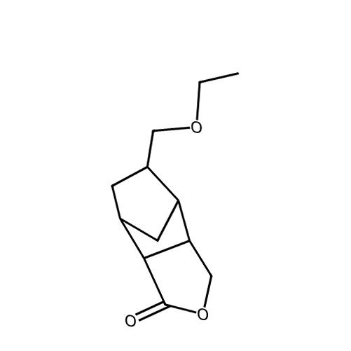 CCOCC1CC2CC1C1COC(=O)C21